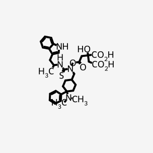 CC(Cc1c[nH]c2ccccc12)NC(=S)N(CC1CCC(c2ccccc2)(N(C)C)CC1)OC(=O)CC(O)(CC(=O)O)C(=O)O